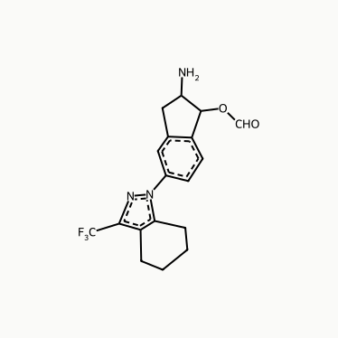 NC1Cc2cc(-n3nc(C(F)(F)F)c4c3CCCC4)ccc2C1OC=O